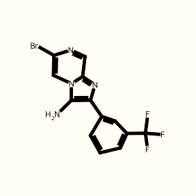 Nc1c(-c2cccc(C(F)(F)F)c2)nc2cnc(Br)cn12